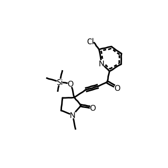 CN1CCC(C#CC(=O)c2cccc(Cl)n2)(O[Si](C)(C)C)C1=O